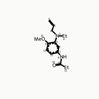 C=CCN(CC)c1cc(NC(=O)CC)ccc1OC